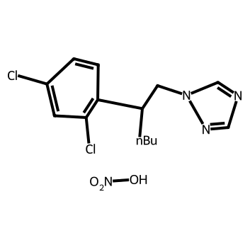 CCCCC(Cn1cncn1)c1ccc(Cl)cc1Cl.O=[N+]([O-])O